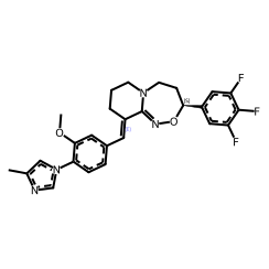 COc1cc(/C=C2\CCCN3CC[C@@H](c4cc(F)c(F)c(F)c4)ON=C23)ccc1-n1cnc(C)c1